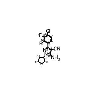 N#Cc1c(-c2ccc(Cl)c(F)c2F)nn(C2CCCC2)c1N